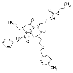 C#CCN1CC(=O)N2[C@@H](CCCNC(=O)OCC=C)C(=O)N(CCOCc3ccc(C)cc3)C[C@@H]2N1C(=O)NCc1ccccc1